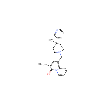 N#CC1(c2cccnc2)CCN(Cc2cc(C(=O)O)c(=O)n3ccccc23)CC1